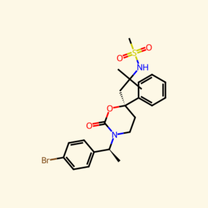 C[C@@H](c1ccc(Br)cc1)N1CC[C@](CC(C)(C)NS(C)(=O)=O)(c2ccccc2)OC1=O